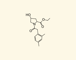 CCOC(=O)C1CC(O)CN1C(=O)Cc1ccc(C)cc1C